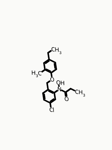 CCC(=O)N(O)c1cc(Cl)ccc1COc1ccc(CC)cc1C